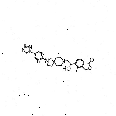 Cc1c(C(O)CN2CCC3(CC2)CCN(c2ncc(-n4cnnn4)cn2)C3)ccc2c1COC2=O